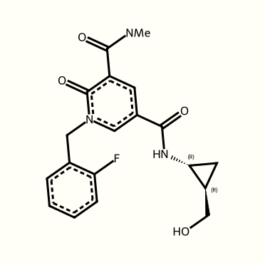 CNC(=O)c1cc(C(=O)N[C@@H]2C[C@H]2CO)cn(Cc2ccccc2F)c1=O